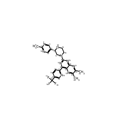 Cc1ncc([C@@H]2CN(c3nc(-c4ccc(C(F)(F)F)cn4)c4nc(C)c(C)nc4n3)CCO2)cn1